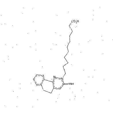 N=c1cc2c(nn1CCCCCCCCCCC(=O)O)-c1ccccc1CC2